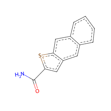 NC(=O)c1cc2cc3ccccc3cc2s1